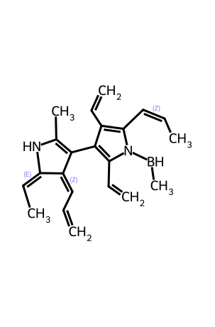 C=C/C=c1/c(-c2c(C=C)c(/C=C\C)n(BC)c2C=C)c(C)[nH]/c1=C/C